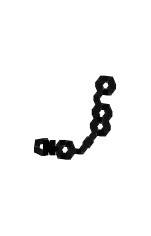 C(#Cc1ccc2ccc(Cc3ccccc3)cc2c1)Cc1ccc(N2CCCC2)cc1